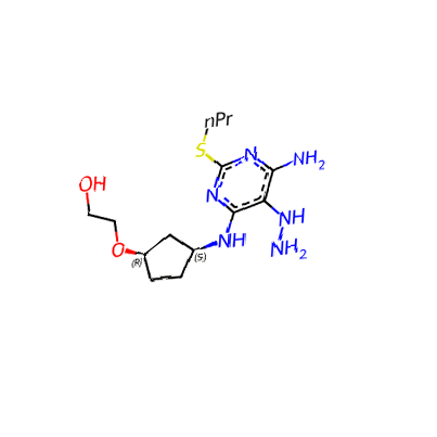 CCCSc1nc(N)c(NN)c(N[C@H]2CC[C@@H](OCCO)C2)n1